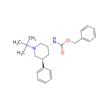 CC(C)(C)N1C[C@H](NC(=O)OCc2ccccc2)C[C@@H](c2ccccc2)C1